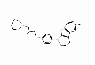 OC(COc1ccc(C2CCCc3c2[nH]c2ccc(Br)cc32)cc1)CN1CCCCC1